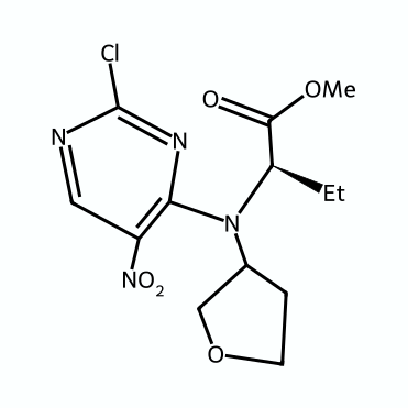 CC[C@H](C(=O)OC)N(c1nc(Cl)ncc1[N+](=O)[O-])C1CCOC1